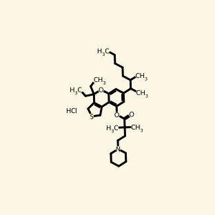 CCCCCC(C)C(C)c1cc(OC(=O)C(C)(C)CCN2CCCCC2)c2c(c1)OC(CC)(CC)C1=C2CSC1.Cl